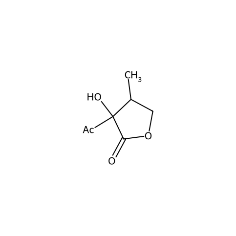 CC(=O)C1(O)C(=O)OCC1C